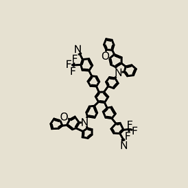 N#Cc1ccc(-c2ccc(-c3cc(-c4ccc(-n5c6ccccc6c6cc7c(cc65)oc5ccccc57)cc4)c(-c4ccc(-c5ccc(C#N)c(C(F)(F)F)c5)cc4)cc3-c3ccc(-n4c5ccccc5c5cc6c(cc54)oc4ccccc46)cc3)cc2)cc1C(F)(F)F